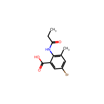 CCC(=O)Nc1c(C)cc(Br)cc1C(=O)O